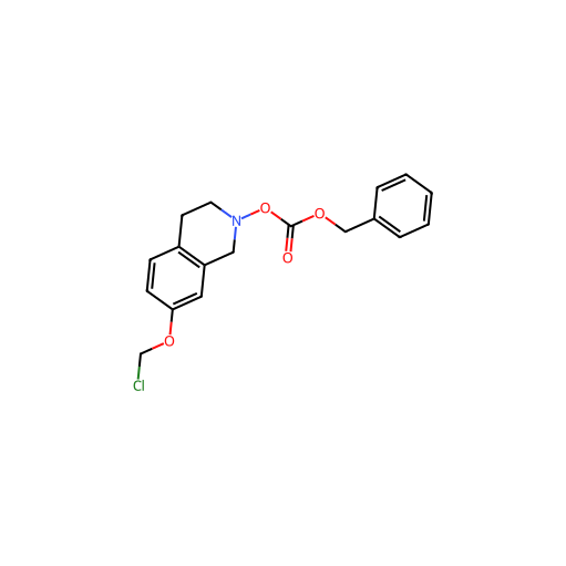 O=C(OCc1ccccc1)ON1CCc2ccc(OCCl)cc2C1